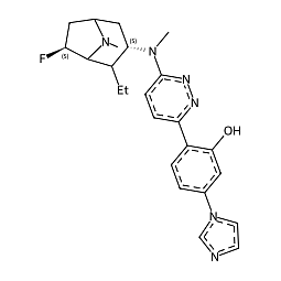 CCC1C2[C@@H](F)CC(C[C@@H]1N(C)c1ccc(-c3ccc(-n4ccnc4)cc3O)nn1)N2C